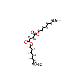 CCCCCCCCCCCCCCCCOC(=O)CCC(=O)OCCCCCCCCCCCCCCCC